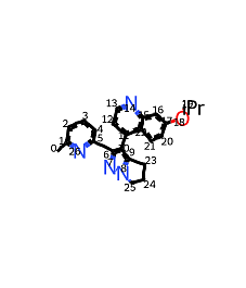 Cc1cccc(-c2nn3c(c2-c2ccnc4cc(OC(C)C)ccc24)CCC3)n1